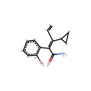 C=C/C(=C(/C(N)=O)c1ccccc1Br)C1CC1